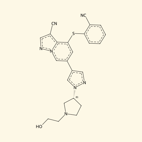 N#Cc1ccccc1Sc1cc(-c2cnn([C@@H]3CCN(CCO)C3)c2)cn2ncc(C#N)c12